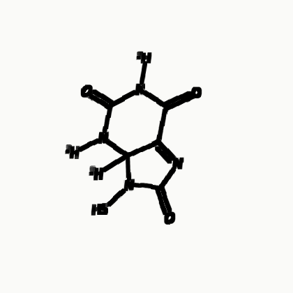 [2H]N1C(=O)C2=NC(=O)N(S)C2([2H])N([2H])C1=O